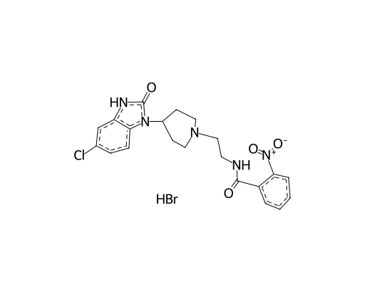 Br.O=C(NCCN1CCC(n2c(=O)[nH]c3cc(Cl)ccc32)CC1)c1ccccc1[N+](=O)[O-]